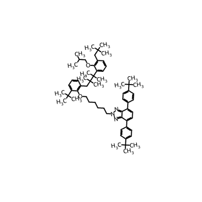 CC(C)COc1c(CC(C)(C)C)cccc1C(C)(C)C(C)(C)Cc1cccc(C(C)(C)C)c1OCCCCCCn1nc2c(-c3ccc(C(C)(C)C)cc3)ccc(-c3ccc(C(C)(C)C)cc3)c2n1